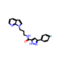 O=C(NCCCn1ccc2cccnc21)c1cc(-c2ccc(F)cc2)n[nH]1